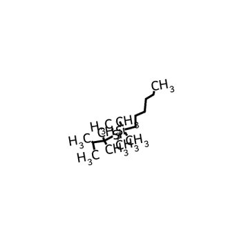 CCCCCC[Si](C)(C)[Si](C)(C)C(C)(C)C(C)C